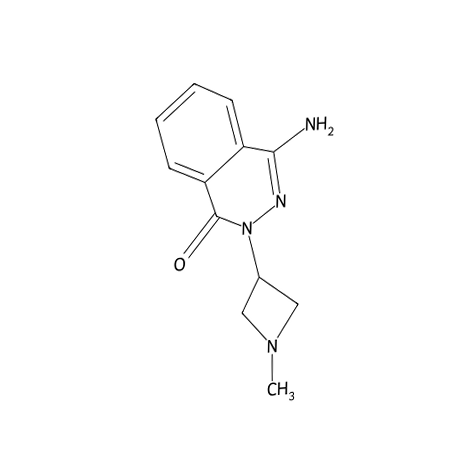 CN1CC(n2nc(N)c3ccccc3c2=O)C1